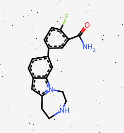 NC(=O)c1cc(-c2ccc3cc4n(c3c2)CCNCC4)ccc1F